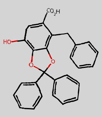 O=C(O)c1cc(O)c2c(c1Cc1ccccc1)OC(c1ccccc1)(c1ccccc1)O2